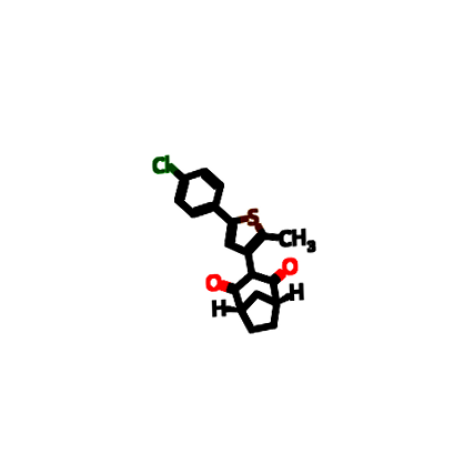 Cc1sc(-c2ccc(Cl)cc2)cc1C1C(=O)[C@@H]2CC[C@@H](C2)C1=O